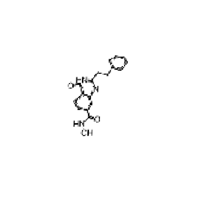 O=C(NO)c1ccc2c(=O)[nH]c(CCc3ccccc3)nc2c1